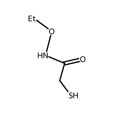 CCONC(=O)CS